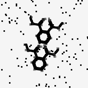 COC(=O)c1ccccc1C(=O)OC.COC(=O)c1ccccc1C(=O)OC